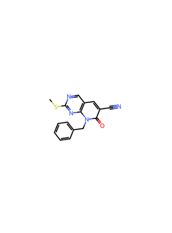 CSc1ncc2cc(C#N)c(=O)n(Cc3ccccc3)c2n1